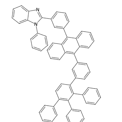 c1ccc(-c2ccc(-c3cccc(-c4c5ccccc5c(-c5cccc(-c6nc7ccccc7n6-c6ccccc6)c5)c5ccccc45)c3)c(-c3ccccc3)c2-c2ccccc2)cc1